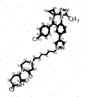 Cc1nnc2n1-c1ccc(-c3cnn(CCCCCCN4CCN(C5CCC(=O)NC5=O)C(=O)C4)c3)cc1C(c1ccc(Cl)cc1)=NC21CC1